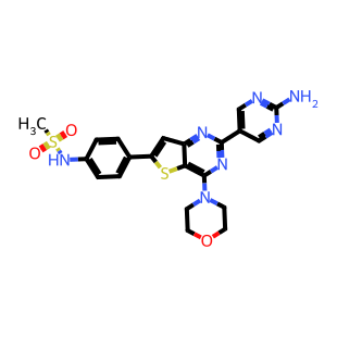 CS(=O)(=O)Nc1ccc(-c2cc3nc(-c4cnc(N)nc4)nc(N4CCOCC4)c3s2)cc1